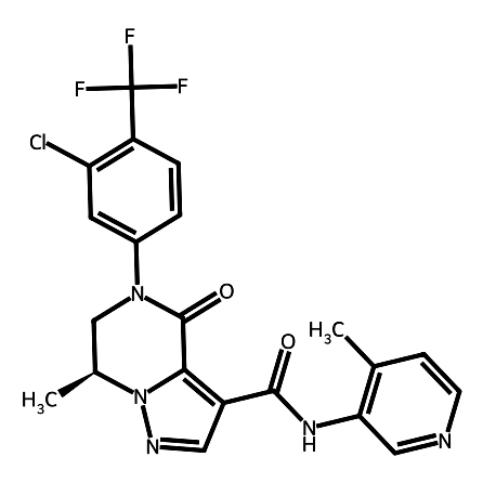 Cc1ccncc1NC(=O)c1cnn2c1C(=O)N(c1ccc(C(F)(F)F)c(Cl)c1)C[C@@H]2C